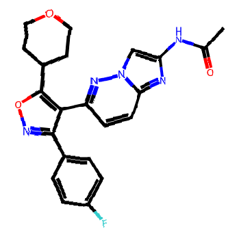 CC(=O)Nc1cn2nc(-c3c(-c4ccc(F)cc4)noc3C3CCOCC3)ccc2n1